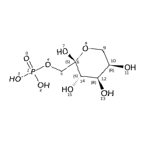 O=P(O)(O)OC[C@]1(O)OC[C@@H](O)[C@@H](O)[C@@H]1O